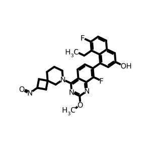 CCc1c(F)ccc2cc(O)cc(-c3ccc4c(N5CCCC6(CC(N=O)C6)C5)nc(OC)nc4c3F)c12